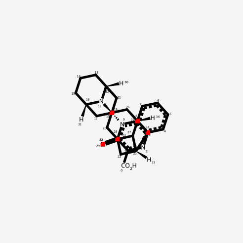 O=C(O)c1nc2ccccc2n([C@H]2C[C@H]3CCC[C@@H](C2)N3[C@@H]2C[C@H]3C[C@H]4C[C@@H](C2)C43)c1=O